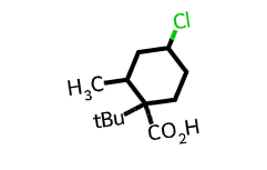 CC1CC(Cl)CCC1(C(=O)O)C(C)(C)C